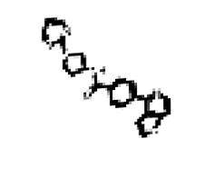 O=C(N[C@@H]1CCN(c2ncccn2)C1)c1ccc(-c2nccc3occc23)cc1